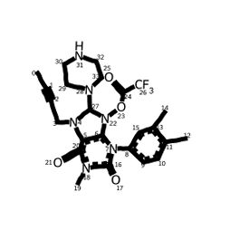 CC#CCN1c2c(n(-c3ccc(C)c(C)c3)c(=O)n(C)c2=O)N(OC(=O)C(F)(F)F)C1N1CCNCC1